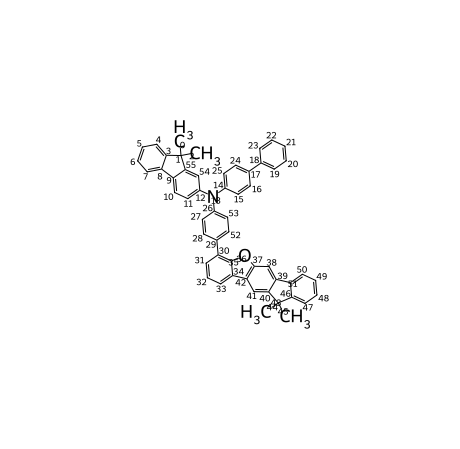 CC1(C)c2ccccc2-c2ccc(N(c3ccc(-c4ccccc4)cc3)c3ccc(-c4cccc5c4oc4cc6c(cc45)C(C)(C)c4ccccc4-6)cc3)cc21